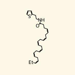 CC/C=C\C/C=C\C/C=C\C/C=C\C/C=C\C/C=C\CCC(=O)NCCc1cccs1